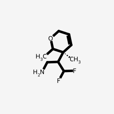 CC1OCC=C[C@@]1(C)C(CN)C(F)F